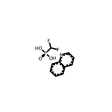 O=P(O)(O)C(F)F.c1ccc2ncccc2c1